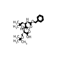 CC(C)(C)C[C@@H](NC(=O)OCc1ccccc1)C(=O)N[C@@H](COC(C)(C)C)C(=O)O